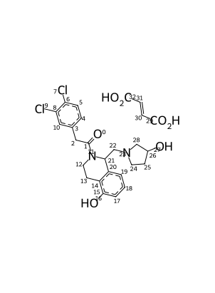 O=C(Cc1ccc(Cl)c(Cl)c1)N1CCc2c(O)cccc2C1CN1CCC(O)C1.O=C(O)C=CC(=O)O